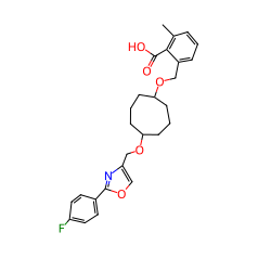 Cc1cccc(COC2CCCC(OCc3coc(-c4ccc(F)cc4)n3)CCC2)c1C(=O)O